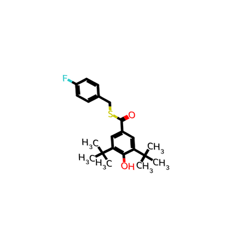 CC(C)(C)c1cc(C(=O)SCc2ccc(F)cc2)cc(C(C)(C)C)c1O